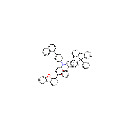 c1ccc(-c2ccc(-c3cccc4c3C3(c5ccccc5-c5ccccc53)c3ccccc3-4)cc2N(c2ccc(-c3cccc4ccccc34)cc2)c2ccc(-c3cccc4c3oc3ccccc34)cc2)cc1